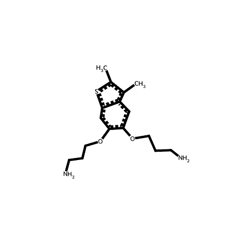 Cc1sc2cc(OCCCN)c(OCCCN)cc2c1C